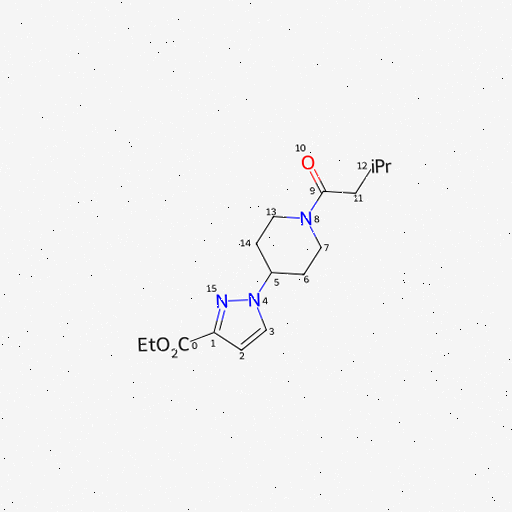 CCOC(=O)c1ccn(C2CCN(C(=O)CC(C)C)CC2)n1